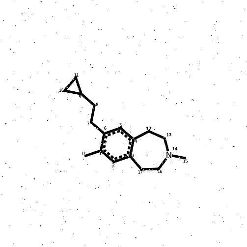 Cc1cc2c(cc1CCC1CC1)CCN(C)CC2